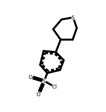 O=S(=O)(Cl)c1ccc(C2CCSCC2)cc1